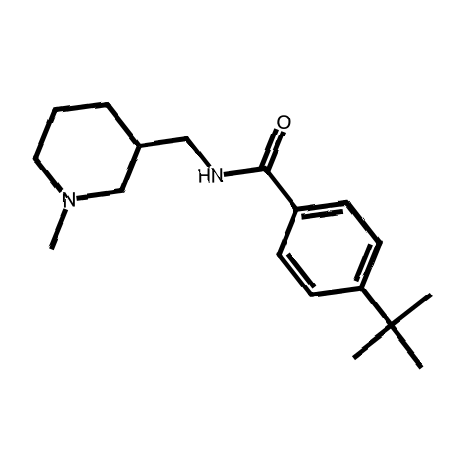 CN1CCCC(CNC(=O)c2ccc(C(C)(C)C)cc2)C1